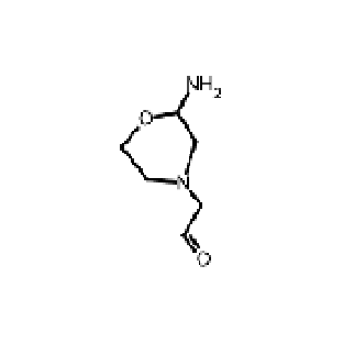 NC1CN(CC=O)CCO1